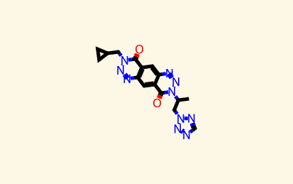 CC(Cn1ncnn1)n1nnc2cc3c(=O)n(CC4CC4)nnc3cc2c1=O